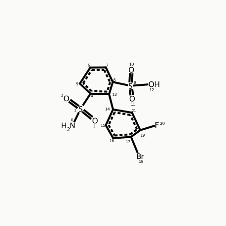 NS(=O)(=O)c1cccc(S(=O)(=O)O)c1-c1ccc(Br)c(F)c1